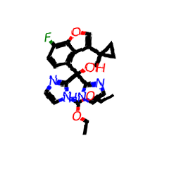 CCOC(OCC)n1ccnc1C(O)(c1ncc[nH]1)c1ccc(F)c2occ(C3(C)CC3)c12